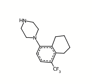 FC(F)(F)c1ccc(N2CCNCC2)c2c1CCCC2